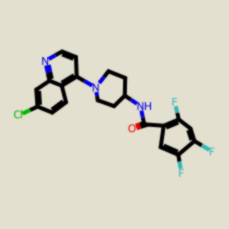 O=C(NC1CCN(c2ccnc3cc(Cl)ccc23)CC1)c1cc(F)c(F)cc1F